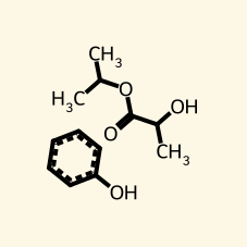 CC(C)OC(=O)C(C)O.Oc1ccccc1